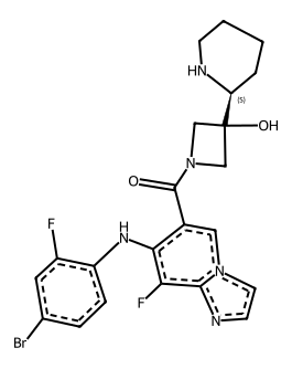 O=C(c1cn2ccnc2c(F)c1Nc1ccc(Br)cc1F)N1CC(O)([C@@H]2CCCCN2)C1